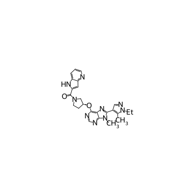 CCn1ncc(-c2nc3c(O[C@H]4CCN(C(=O)c5cc6ncccc6[nH]5)C4)ncnc3n2C)c1C